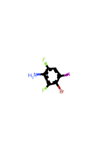 Nc1c(F)cc(I)c(Br)c1F